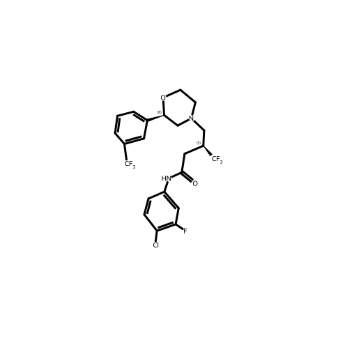 O=C(C[C@@H](CN1CCO[C@H](c2cccc(C(F)(F)F)c2)C1)C(F)(F)F)Nc1ccc(Cl)c(F)c1